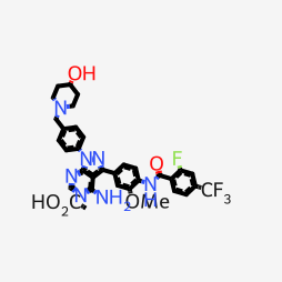 CC(=O)O.COc1cc(-c2nn(-c3ccc(CN4CCC(O)CC4)cc3)c3ncnc(N)c23)ccc1NC(=O)c1ccc(C(F)(F)F)cc1F